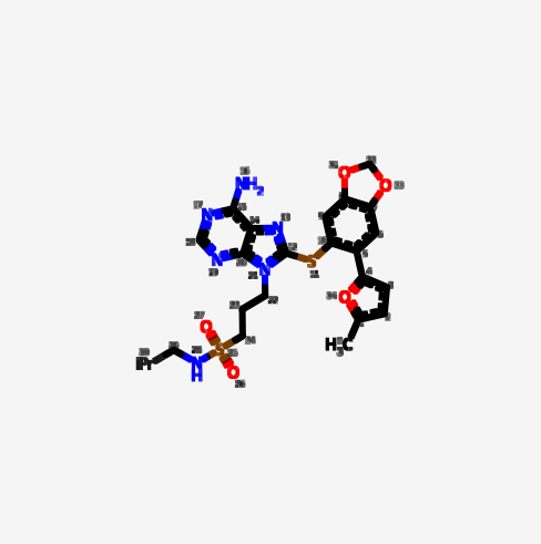 Cc1ccc(-c2cc3c(cc2Sc2nc4c(N)ncnc4n2CCCS(=O)(=O)NCC(C)C)OCO3)o1